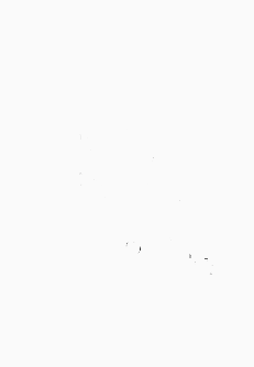 CC1C[C@H](CC(N)=O)CC(C)(C)C1